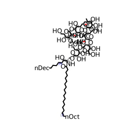 CCCCCCCC/C=C\CCCCCCCCCCCCCCCC(=O)N[C@@H](CO[C@@H]1OC(CO)[C@@H](O[C@@H]2OC(CO)[C@H](O)[C@H](O[C@@H]3OC(CO)[C@@H](O[C@H]4OC(C)[C@@H](O)C(O)[C@@H]4O)[C@H](O[C@@H]4OC(CO)[C@H](O)[C@H](O[C@@H]5OC(CO)[C@@H](O)[C@H](O)C5NC(C)=O)C4O)C3NC(C)=O)C2O)[C@H](O)C1O)[C@H](O)/C=C/CCCCCCCCCCCCC